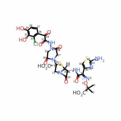 CC(C)(O/N=C(\C(=O)N[C@@H]1C(=O)N2C[C@@](C(=O)O)(N3CC(=O)N(NC(=O)C(=O)c4ccc(O)c(O)c4Cl)CC3=O)S[C@H]12)c1csc(N)n1)C(=O)O